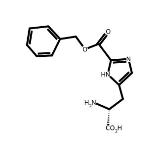 N[C@H](Cc1cnc(C(=O)OCc2ccccc2)[nH]1)C(=O)O